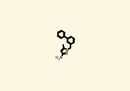 Cc1cc(N)nn1Cc1cccc(-c2ccccc2)c1